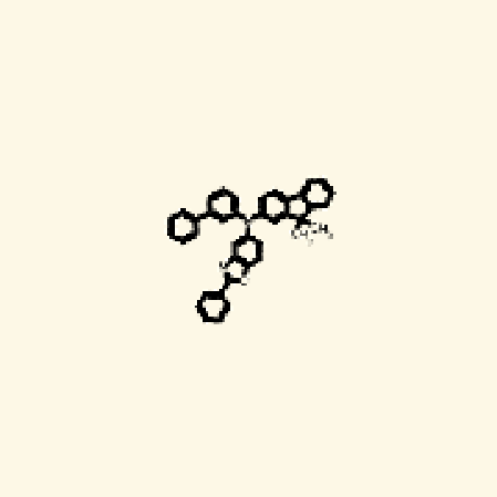 CC1(C)c2ccccc2-c2ccc(N(c3cccc(-c4ccccc4)c3)c3ccc4oc(-c5ccccc5)nc4c3)cc21